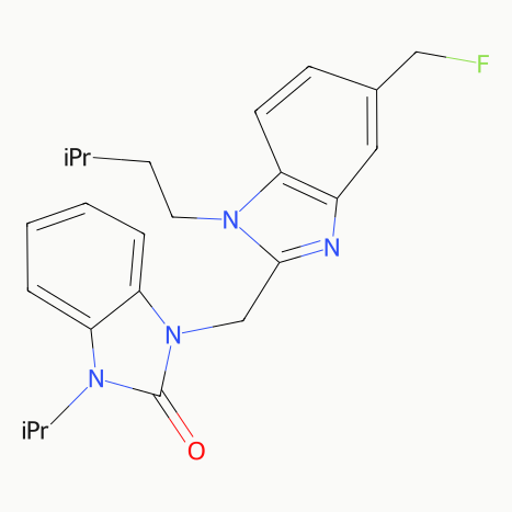 CC(C)CCn1c(Cn2c(=O)n(C(C)C)c3ccccc32)nc2cc(CF)ccc21